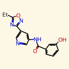 CCc1nc(-c2cncc(NC(=O)c3cccc(O)c3)c2)no1